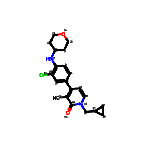 N#Cc1c(-c2ccc(NC3CCOCC3)c(Cl)c2)ccn(CC2CC2)c1=O